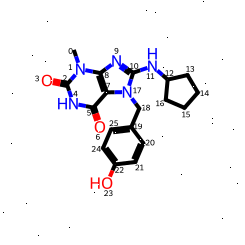 Cn1c(=O)[nH]c(=O)c2c1nc(NC1CCCC1)n2Cc1ccc(O)cc1